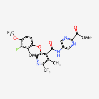 COC(=O)c1ncc(NC(=O)c2c(Oc3ccc(OC(F)(F)F)c(F)c3OC)cnc(C(F)(F)F)c2C)cn1